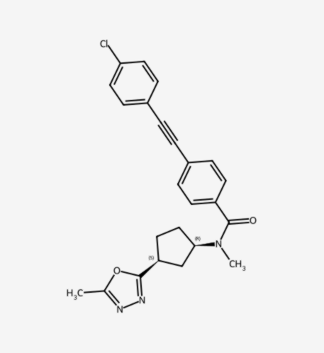 Cc1nnc([C@H]2CC[C@@H](N(C)C(=O)c3ccc(C#Cc4ccc(Cl)cc4)cc3)C2)o1